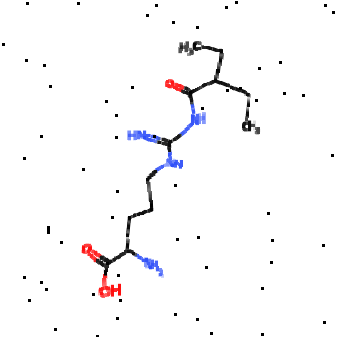 CCC(CC)C(=O)NC(=N)NCCCC(N)C(=O)O